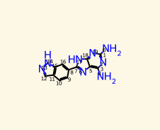 Nc1nc(N)c2nc(-c3ccc4cn[nH]c4c3)[nH]c2n1